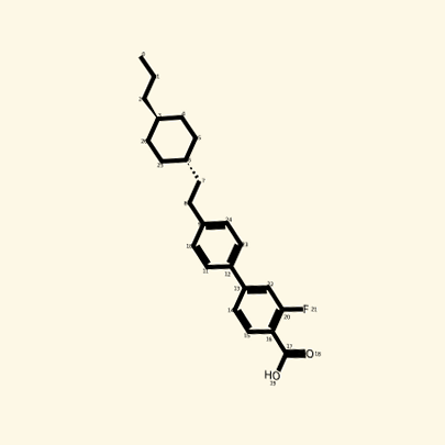 CCC[C@H]1CC[C@H](CCc2ccc(-c3ccc(C(=O)O)c(F)c3)cc2)CC1